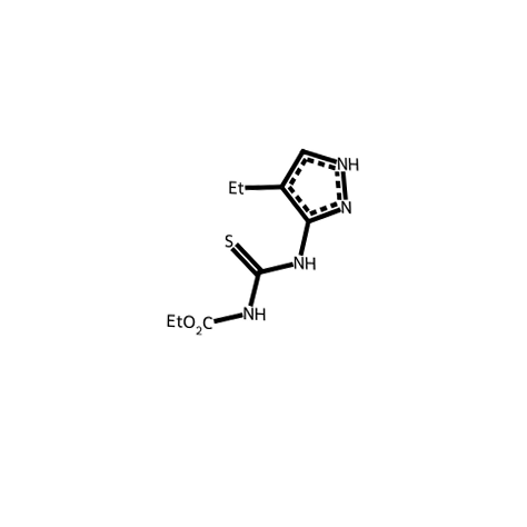 CCOC(=O)NC(=S)Nc1n[nH]cc1CC